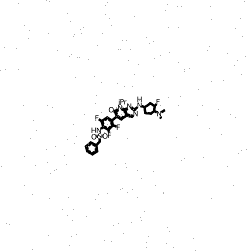 CC(C)n1c(=O)c(-c2cc(F)c(NS(=O)(=O)Cc3ccccc3)c(F)c2F)cc2cnc(NC3CCC(N(C)C)C(F)C3)nc21